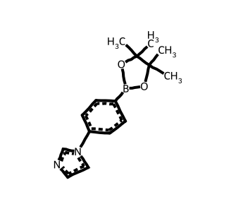 CC1(C)OB(c2ccc(-n3ccnc3)cc2)OC1(C)C